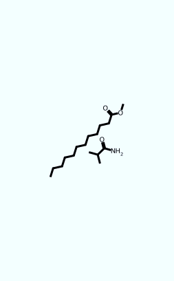 CC(C)C(N)=O.CCCCCCCCCCCC(=O)OC